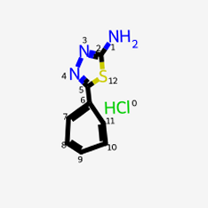 Cl.Nc1nnc(-c2ccccc2)s1